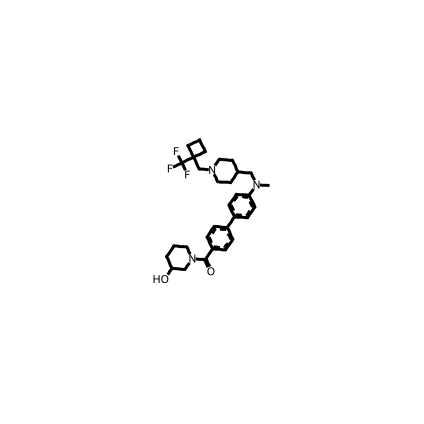 CN(CC1CCN(CC2(C(F)(F)F)CCC2)CC1)c1ccc(-c2ccc(C(=O)N3CCCC(O)C3)cc2)cc1